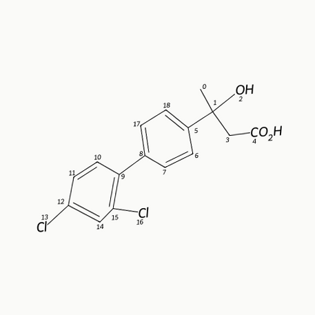 CC(O)(CC(=O)O)c1ccc(-c2ccc(Cl)cc2Cl)cc1